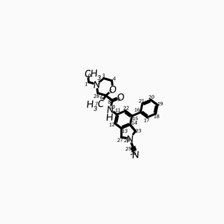 CCN1CCOC(C)(C(=O)Nc2cc3c(c(-c4ccccc4)c2)CN(C#N)C3)C1